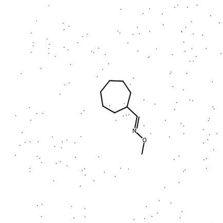 CON=CC1CCCCCC1